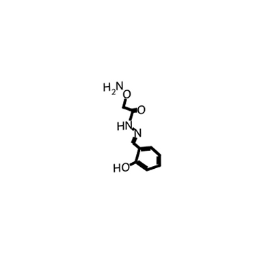 NOCC(=O)N/N=C/c1ccccc1O